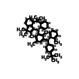 CC1=C2c3c(cccc3C(C)(C)c3ccccc3N2c2cc(C)cc(N(c3ccc(C(C)(C)C)cc3)c3ccccc3C)c2C)C1(C)C